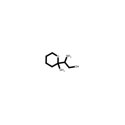 NC(CO)C1([SiH3])CCCCO1